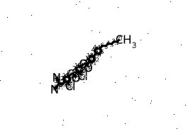 CCCCCCCc1ccc(-c2ccc(C(=O)Oc3ccc(C(=O)Oc4ccc(C=C(C#N)C#N)c(Cl)c4)c(Cl)c3)cc2)cc1